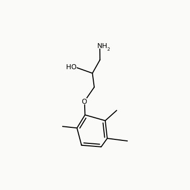 Cc1ccc(C)c(OCC(O)CN)c1C